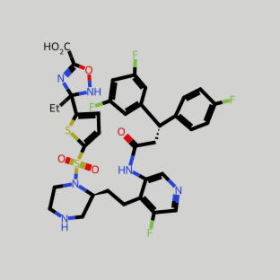 CCC1(c2ccc(S(=O)(=O)N3CCNC[C@@H]3CCc3c(F)cncc3NC(=O)C[C@@H](c3ccc(F)cc3)c3cc(F)cc(F)c3)s2)N=C(C(=O)O)ON1